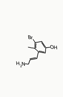 Cc1c(Br)cc(O)cc1/C=C/CN